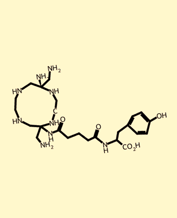 NCC1(NC(=O)CCCC(=O)NC(Cc2ccc(O)cc2)C(=O)O)CNCCNC[C@](N)(CN)NCCN1